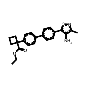 CCOC(=O)C1(c2ccc(-c3ccc(-c4onc(C)c4N)cc3)cc2)CCC1